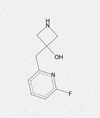 OC1(Cc2cccc(F)n2)CNC1